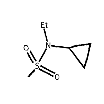 [CH2]CN(C1CC1)S(C)(=O)=O